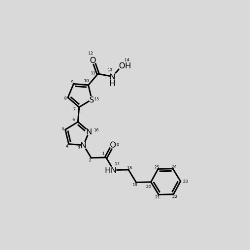 O=C(Cn1ccc(-c2ccc(C(=O)NO)s2)n1)NCCc1ccccc1